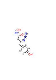 [N-]=[N+]=NC(CC(=O)NO)Cc1ccc(O)cc1